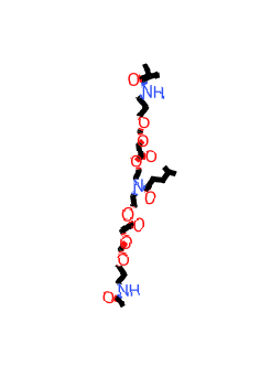 CC(=O)NCCCOCOCC(=O)OCCN(CCOC(=O)COCOCCCNC(=O)C(C)C)C(=O)CCC(C)C